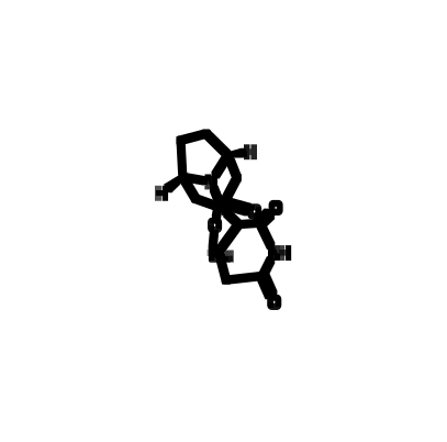 CC(C)(C)OC(=O)N1[C@@H]2CC[C@H]1CN(C1CCC(=O)NC1=O)C2